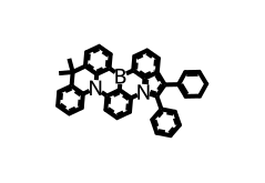 CC1(C)c2ccccc2N2c3cccc4c3B(c3cccc1c32)c1cccc2c(C3=CCCC=C3)c(-c3ccccc3)n-4c12